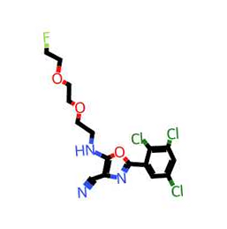 N#Cc1nc(-c2cc(Cl)cc(Cl)c2Cl)oc1NCCOCCOCCF